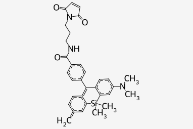 C=c1ccc2c(c1)[Si](C)(C)c1cc(N(C)C)ccc1C=2c1ccc(C(=O)NCCCN2C(=O)C=CC2=O)cc1